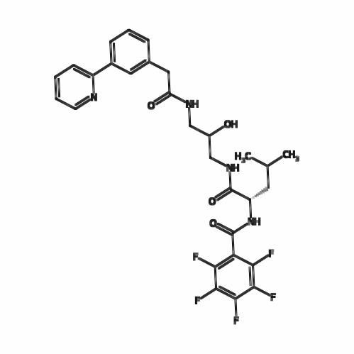 CC(C)C[C@H](NC(=O)c1c(F)c(F)c(F)c(F)c1F)C(=O)NCC(O)CNC(=O)Cc1cccc(-c2ccccn2)c1